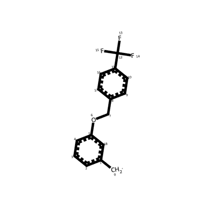 [CH2]c1cccc(OCc2ccc(C(F)(F)F)cc2)c1